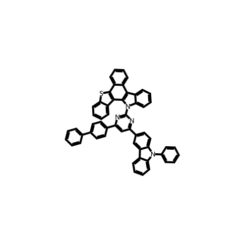 c1ccc(-c2ccc(-c3cc(-c4ccc5c(c4)c4ccccc4n5-c4ccccc4)nc(-n4c5ccccc5c5c6ccccc6c6sc7ccccc7c6c54)n3)cc2)cc1